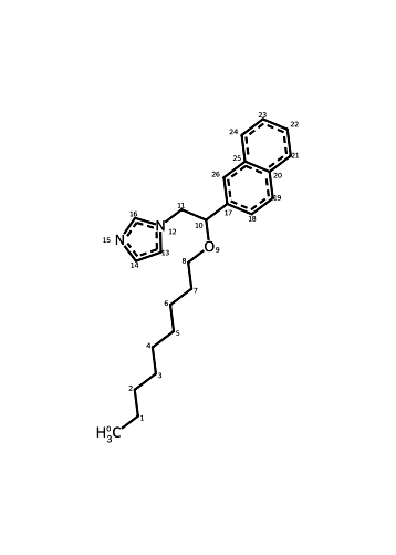 CCCCCCCCCOC(Cn1ccnc1)c1ccc2ccccc2c1